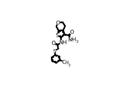 Cc1cccc(SCC(=O)Nc2sc3c(c2C(N)=O)CCOC3)c1